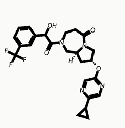 O=C(C(O)c1cccc(C(F)(F)F)c1)N1CCC(=O)N2C[C@H](Oc3cnc(C4CC4)cn3)C[C@H]2C1